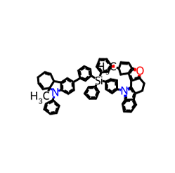 CC1C=Cc2oc3c(c2C1)-c1c(c2ccccc2n1-c1ccc([Si](c2ccccc2)(c2ccccc2)c2cccc(-c4ccc5c(c4)C4C=CCC=CC4(C)N5c4ccccc4)c2)cc1)CC3